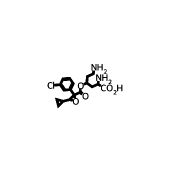 NCCC(CC(N)C(=O)O)OC(=O)C1(c2cccc(Cl)c2)OC1C1CC1